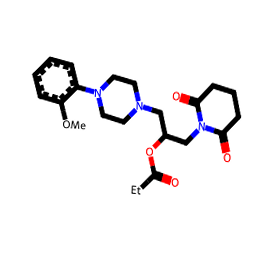 CCC(=O)OC(CN1CCN(c2ccccc2OC)CC1)CN1C(=O)CCCC1=O